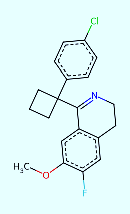 COc1cc2c(cc1F)CCN=C2C1(c2ccc(Cl)cc2)CCC1